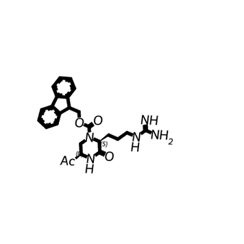 CC(=O)[C@H]1CN(C(=O)OCC2c3ccccc3-c3ccccc32)[C@@H](CCCNC(=N)N)C(=O)N1